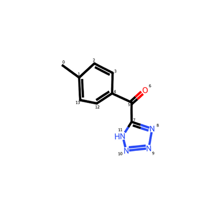 Cc1ccc(C(=O)c2nnn[nH]2)cc1